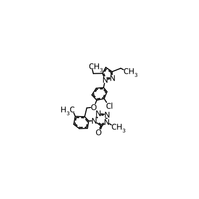 CCc1cc(CC)n(-c2ccc(OCc3c(C)cccc3-n3nnn(C)c3=O)c(Cl)c2)n1